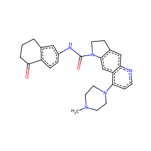 CN1CCN(c2ccnc3cc4c(cc23)N(C(=O)Nc2ccc3c(c2)CCCC3=O)CC4)CC1